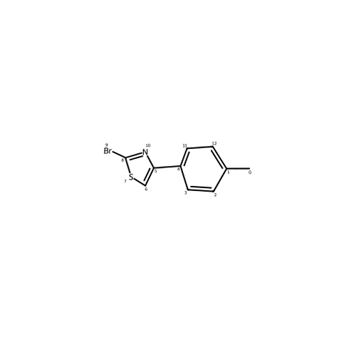 Cc1ccc(-c2csc(Br)n2)cc1